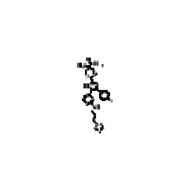 CC1(C(N)=O)COC(c2nc(-c3ccc(F)cc3)c(-c3ccnc(NCCCN4CC=NC4)n3)[nH]2)OC1